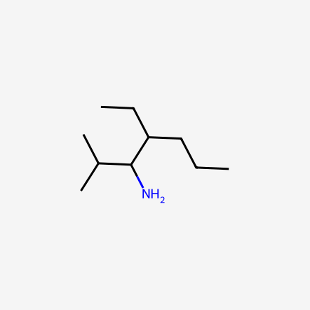 CCCC(CC)C(N)C(C)C